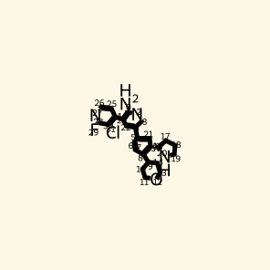 Nc1ncc(-c2ccc(C3CCOCC3)c([C@@H]3CCCN3)c2)cc1-c1ccnc(F)c1Cl